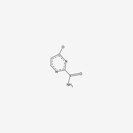 NC(=O)c1nccc([O])n1